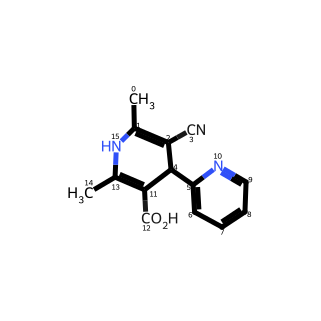 CC1=C(C#N)C(c2ccccn2)C(C(=O)O)=C(C)N1